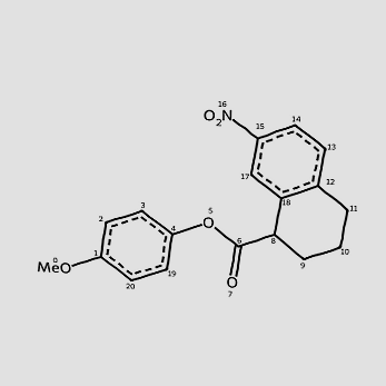 COc1ccc(OC(=O)C2CCCc3ccc([N+](=O)[O-])cc32)cc1